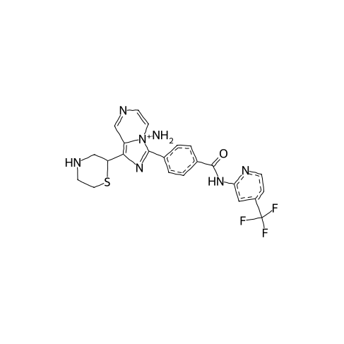 N[N+]12C=CN=CC1=C(C1CNCCS1)N=C2c1ccc(C(=O)Nc2cc(C(F)(F)F)ccn2)cc1